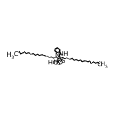 CCCCCCCCCCCCCCCCCCC(C(O)=S)C(CCCCCCCCCCCCCCCCCC)(C(O)=S)c1nc2ccccc2[nH]1